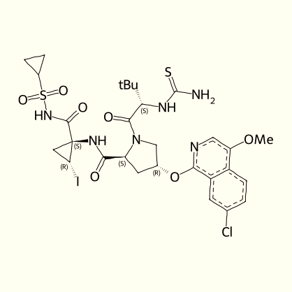 COc1cnc(O[C@@H]2C[C@@H](C(=O)N[C@]3(C(=O)NS(=O)(=O)C4CC4)C[C@H]3I)N(C(=O)[C@@H](NC(N)=S)C(C)(C)C)C2)c2cc(Cl)ccc12